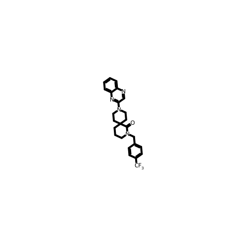 O=C1N(Cc2ccc(C(F)(F)F)cc2)CCCC12CCN(c1cnc3ccccc3n1)CC2